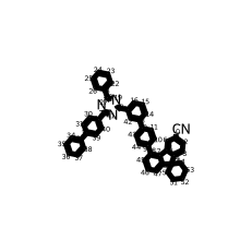 N#Cc1ccc2c(c1)-c1c(-c3ccc(-c4cccc(-c5nc(-c6ccccc6)nc(-c6ccc(-c7ccccc7)cc6)n5)c4)cc3)cccc1C21CCCCC1